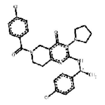 C[C@H](Nc1nc2c(c(=O)n1N1CCCC1)CN(C(=O)c1ccc(Cl)cc1)CC2)c1ccc(Cl)cc1